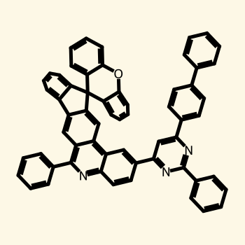 c1ccc(-c2ccc(-c3cc(-c4ccc5nc(-c6ccccc6)c6cc7c(cc6c5c4)C4(c5ccccc5Oc5ccccc54)c4ccccc4-7)nc(-c4ccccc4)n3)cc2)cc1